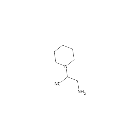 N#CC(CN)N1CCCCC1